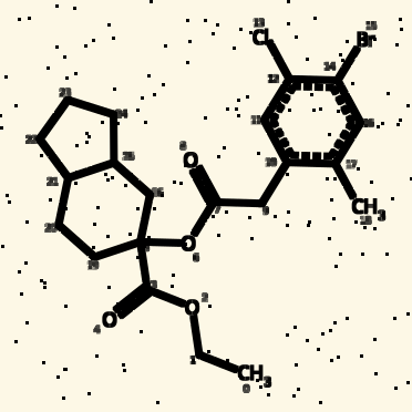 CCOC(=O)C1(OC(=O)Cc2cc(Cl)c(Br)cc2C)CCC2CCCC2C1